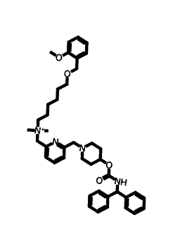 COc1ccccc1COCCCCCC[N+](C)(C)Cc1cccc(CN2CCC(OC(=O)NC(c3ccccc3)c3ccccc3)CC2)n1